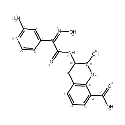 Nc1cc(C(=NO)C(=O)NC2Cc3cccc(C(=O)O)c3OB2O)ccn1